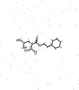 CCCC[C@H](CCC)C[C@@H](C(=O)SCCC1CCCCC1)N(CC)CC